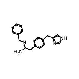 NC(Cc1ccc(Cc2c[nH]cn2)cc1)=NCc1ccccc1